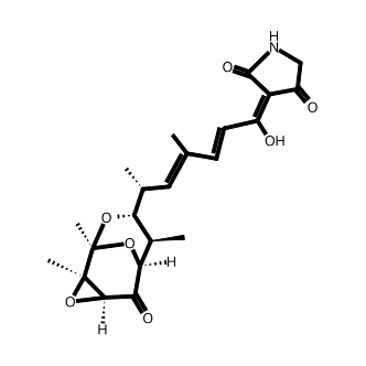 CC(/C=C/C(O)=C1/C(=O)CNC1=O)=C\[C@@H](C)[C@H]1O[C@@]2(C)O[C@H](C(=O)[C@H]3O[C@]32C)[C@@H]1C